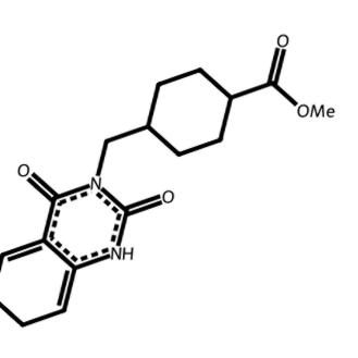 COC(=O)C1CCC(Cn2c(=O)[nH]c3c(c2=O)=CCCC=3)CC1